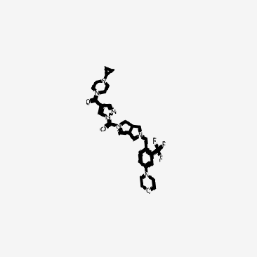 O=C(c1cnn(C(=O)N2CC3CN(Cc4ccc(N5CCOCC5)cc4C(F)(F)F)CC3C2)c1)N1CCN(C2CC2)CC1